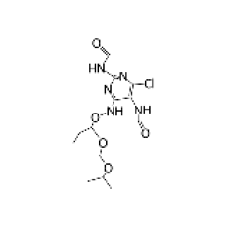 CCC(OCOC(C)C)ONc1nc(NC=O)nc(Cl)c1NC=O